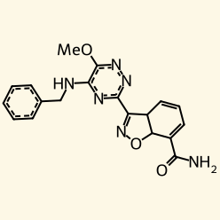 COc1nnc(C2=NOC3C(C(N)=O)=CC=CC23)nc1NCc1ccccc1